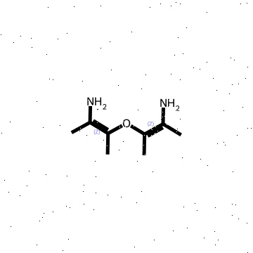 C/C(N)=C(\C)O/C(C)=C(/C)N